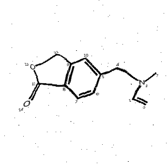 C=CN(C)Cc1ccc2c(c1)COC2=O